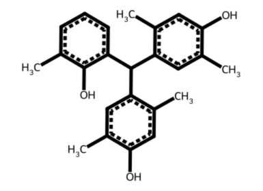 Cc1cc(C(c2cc(C)c(O)cc2C)c2cccc(C)c2O)c(C)cc1O